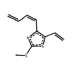 C=C/C=C\c1nc(SC)sc1C=C